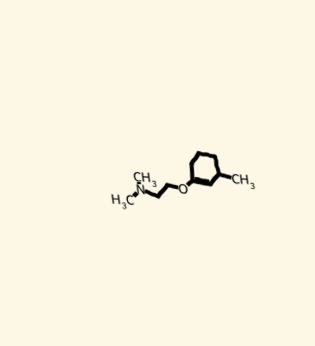 CC1C=C(OCCN(C)C)CCC1